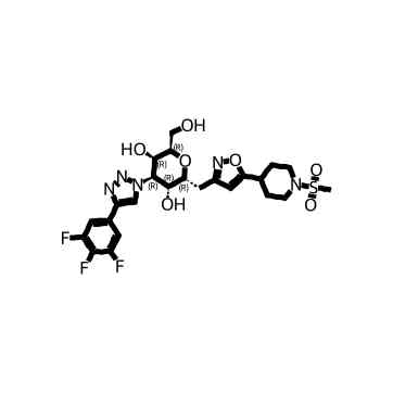 CS(=O)(=O)N1CCC(c2cc(C[C@H]3O[C@H](CO)[C@H](O)[C@H](n4cc(-c5cc(F)c(F)c(F)c5)nn4)[C@H]3O)no2)CC1